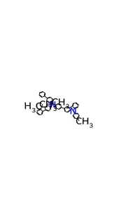 Cc1ccc(-n2c3ccccc3c3cc(-c4ccc(N(c5ccc6c(c5)C(C)(C)c5ccccc5-6)C5(C)C=CC(c6ccccc6)=CC5)cc4)ccc32)cc1